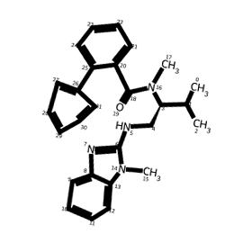 CC(C)[C@@H](CNc1nc2ccccc2n1C)N(C)C(=O)c1ccccc1-c1ccccc1